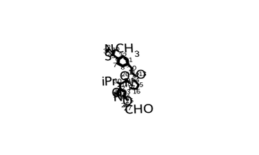 Cc1ncsc1-c1ccc(CCC(=O)[C@@H]2CCCN2C(=O)C(c2cc(OCC=O)no2)C(C)C)cc1